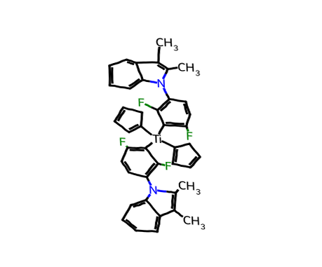 Cc1c(C)n(-c2ccc(F)[c]([Ti]([C]3=CC=CC3)([C]3=CC=CC3)[c]3c(F)ccc(-n4c(C)c(C)c5ccccc54)c3F)c2F)c2ccccc12